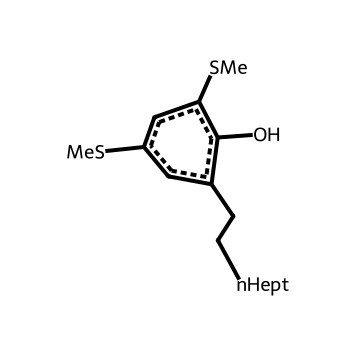 CCCCCCCCCc1cc(SC)cc(SC)c1O